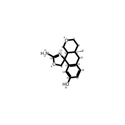 C[C@@]12CCOCC1C1(COC(N)=N1)c1cc(O)ccc1C2